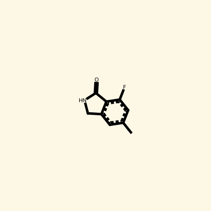 Cc1cc(F)c2c(c1)CNC2=O